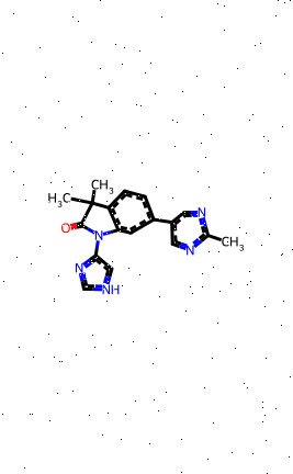 Cc1ncc(-c2ccc3c(c2)N(c2c[nH]cn2)C(=O)C3(C)C)cn1